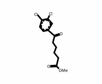 COC(=O)CCCCC(=O)c1ccc(Cl)c(Cl)c1